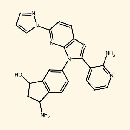 Nc1ncccc1-c1nc2ccc(-n3cccn3)nc2n1-c1ccc2c(c1)C(O)CC2N